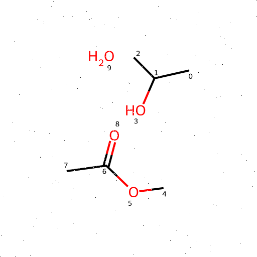 CC(C)O.COC(C)=O.O